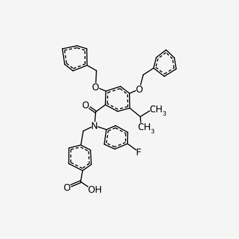 CC(C)c1cc(C(=O)N(Cc2ccc(C(=O)O)cc2)c2ccc(F)cc2)c(OCc2ccccc2)cc1OCc1ccccc1